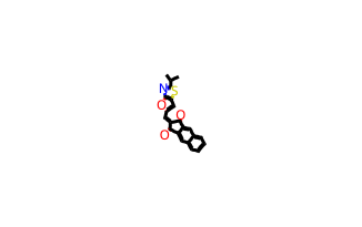 CC(C)c1nc2oc(C=C3C(=O)c4cc5ccccc5cc4C3=O)cc2s1